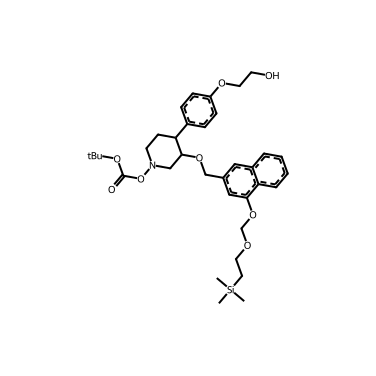 CC(C)(C)OC(=O)ON1CCC(c2ccc(OCCO)cc2)C(OCc2cc(OCOCC[Si](C)(C)C)c3ccccc3c2)C1